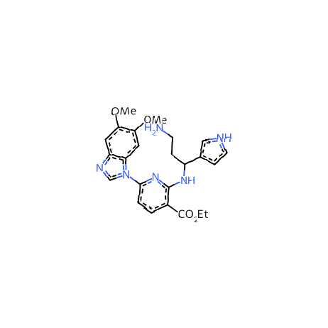 CCOC(=O)c1ccc(-n2cnc3cc(OC)c(OC)cc32)nc1NC(CCN)c1cc[nH]c1